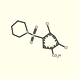 O=C(O)c1cc(S(=O)(=O)N2CCCCC2)c(Cl)cc1Cl